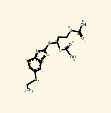 CCSc1ccc2nc(SC(CCOC(=O)O)OC(=O)O)sc2c1